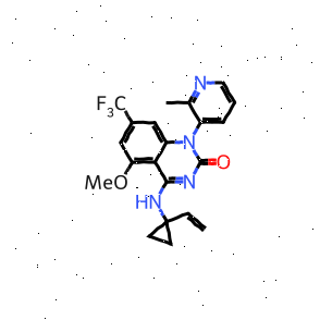 C=CC1(Nc2nc(=O)n(-c3cccnc3C)c3cc(C(F)(F)F)cc(OC)c23)CC1